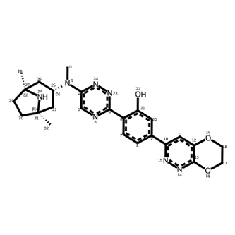 CN(c1cnc(-c2ccc(-c3cc4c(nn3)OCCO4)cc2O)nn1)[C@H]1C[C@]2(C)CC[C@](C)(C1)N2